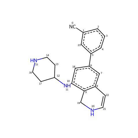 N#Cc1cccc(-c2cc3c(c(NC4CCNCC4)c2)CNC=C3)c1